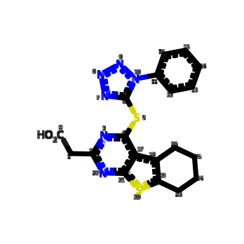 O=C(O)Cc1nc(Sc2nnnn2-c2ccccc2)c2c3c(sc2n1)CCCC3